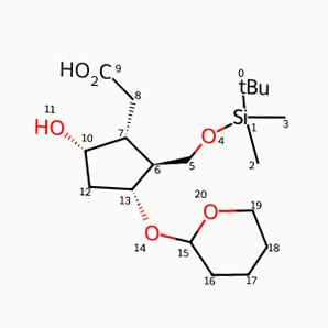 CC(C)(C)[Si](C)(C)OC[C@@H]1[C@@H](CC(=O)O)[C@@H](O)C[C@H]1OC1CCCCO1